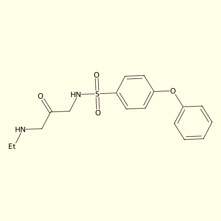 CCNCC(=O)CNS(=O)(=O)c1ccc(Oc2ccccc2)cc1